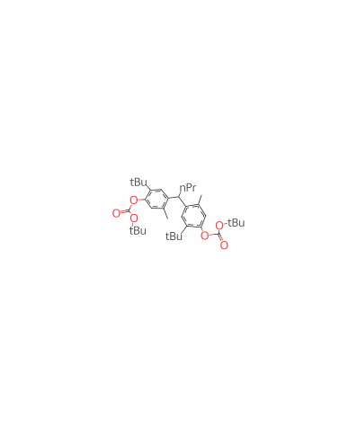 CCCC(c1cc(C(C)(C)C)c(OC(=O)OC(C)(C)C)cc1C)c1cc(C(C)(C)C)c(OC(=O)OC(C)(C)C)cc1C